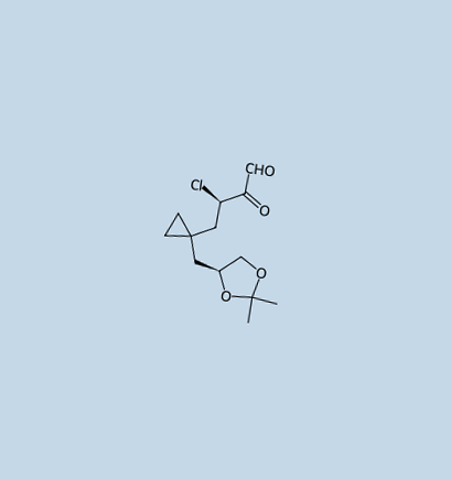 CC1(C)OC[C@H](CC2(C[C@@H](Cl)C(=O)C=O)CC2)O1